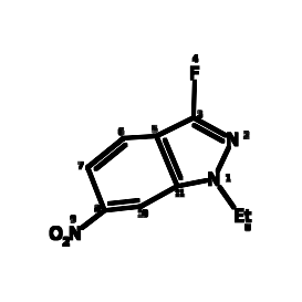 CCn1nc(F)c2ccc([N+](=O)[O-])cc21